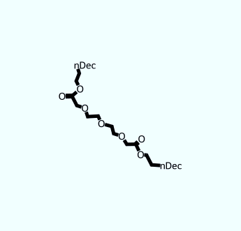 CCCCCCCCCCCCOC(=O)COCCOCCOCC(=O)OCCCCCCCCCCCC